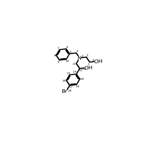 OCCN(Cc1ccccc1)CC(O)c1ccc(Br)cc1